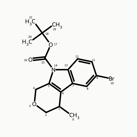 CC1COCc2c1c1cc(Br)ccc1n2C(=O)OC(C)(C)C